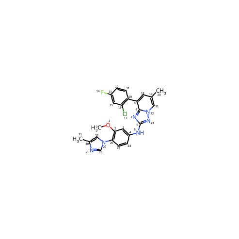 COc1cc(Nc2nc3c(-c4ccc(F)cc4Cl)cc(C)cn3n2)ccc1-n1cnc(C)c1